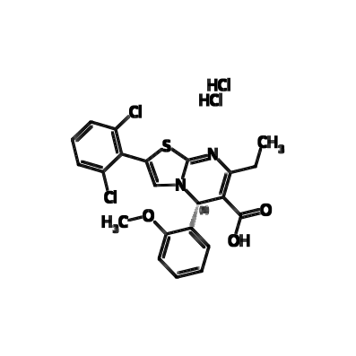 CCC1=C(C(=O)O)[C@H](c2ccccc2OC)N2C=C(c3c(Cl)cccc3Cl)SC2=N1.Cl.Cl